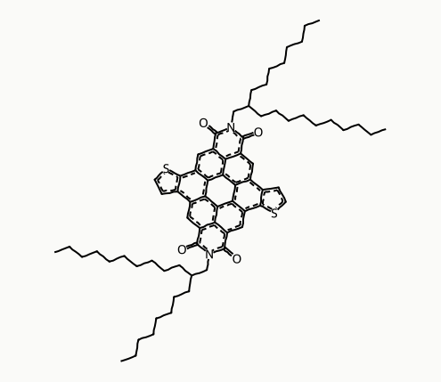 CCCCCCCCCCC(CCCCCCCC)Cn1c(=O)c2cc3c4ccsc4c4cc5c(=O)n(CC(CCCCCCCC)CCCCCCCCCC)c(=O)c6cc7c8ccsc8c8cc(c1=O)c2c1c3c4c(c65)c7c81